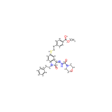 COC(=O)c1ccc(CCSc2ccc3c(c2)C(=NNC(=O)N2CCOCC2)C(=O)N3CCc2ccccc2)cc1